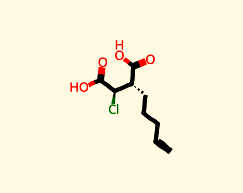 C=CCCC[C@@H](C(=O)O)[C@@H](Cl)C(=O)O